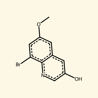 COc1cc(Br)c2ncc(O)cc2c1